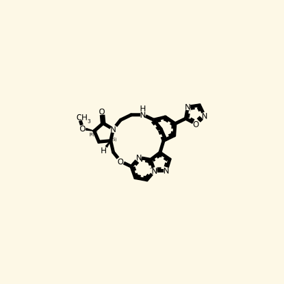 CO[C@@H]1C[C@H]2COc3ccn4ncc(c4n3)-c3cc(cc(-c4ncno4)c3)NCCN2C1=O